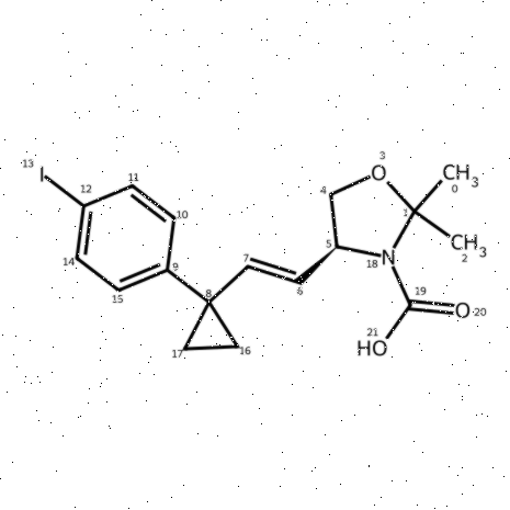 CC1(C)OC[C@H](C=CC2(c3ccc(I)cc3)CC2)N1C(=O)O